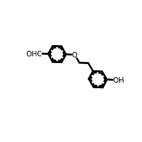 O=Cc1ccc(OCCc2cccc(O)c2)cc1